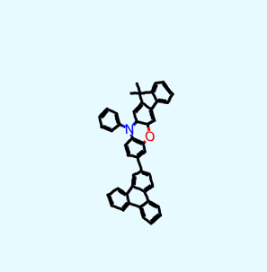 CC1(C)C2=CC3C(C=C2c2ccccc21)Oc1cc(-c2ccc4c5ccccc5c5ccccc5c4c2)ccc1N3c1ccccc1